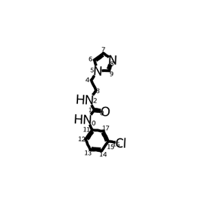 O=C(NCCn1ccnc1)Nc1cccc(Cl)c1